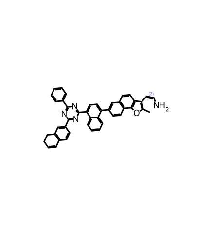 Cc1oc2c(ccc3cc(-c4ccc(-c5nc(-c6ccccc6)nc(-c6ccc7c(c6)CCC=C7)n5)c5ccccc45)ccc32)c1/C=C\N